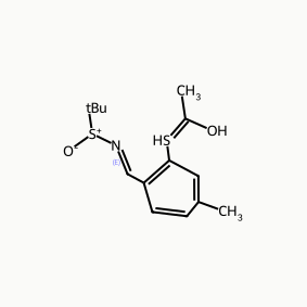 CC(O)=[SH]c1cc(C)ccc1/C=N/[S+]([O-])C(C)(C)C